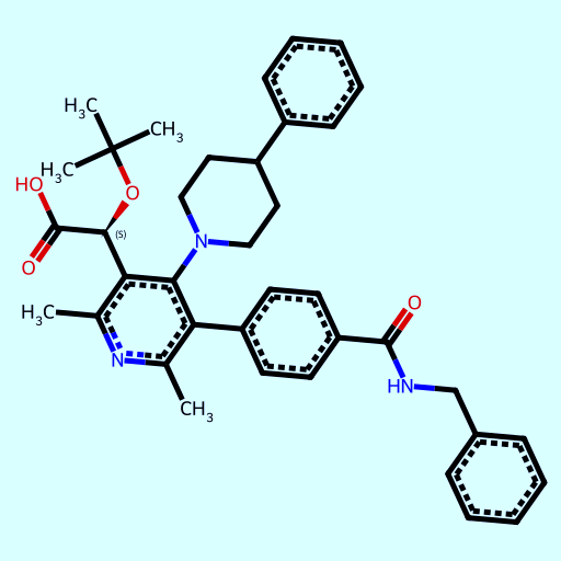 Cc1nc(C)c([C@H](OC(C)(C)C)C(=O)O)c(N2CCC(c3ccccc3)CC2)c1-c1ccc(C(=O)NCc2ccccc2)cc1